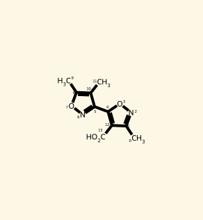 Cc1noc(-c2noc(C)c2C)c1C(=O)O